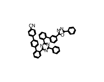 N#Cc1ccc(-c2ccc(-c3ccccc3-c3nc(-c4ccccc4)nc(-c4ccccc4-c4cccc(-c5nnc(-c6ccccc6)o5)c4)n3)cc2)cc1